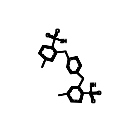 Cc1ccc(S(=O)(=O)S)c(Cc2ccc(Cc3cc(C)ccc3S(=O)(=O)S)cc2)c1